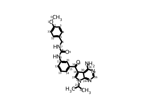 COc1ccc(CNC(=O)Nc2cccc(C(=O)c3cn(C(C)C)c4ncnc(N)c34)c2)cc1